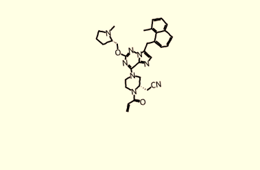 C=CC(=O)N1CCN(c2nc(OC[C@@H]3CCCN3C)nn3c(Cc4cccc5cccc(C)c45)cnc23)C[C@@H]1CC#N